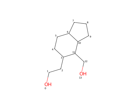 OCCC1CCC2CCCC2C1CO